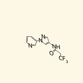 O=C(CC(F)(F)F)Nc1cnn(-c2cccnc2)c1